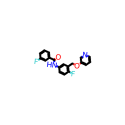 O=C(Nc1ccc(F)c(COc2cccnc2)c1)c1cccc(F)c1